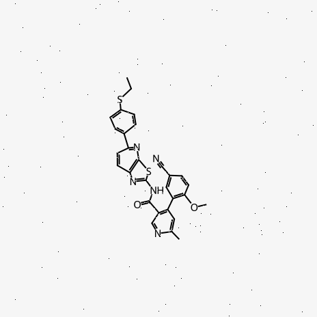 CCSc1ccc(-c2ccc3nc(NC(=O)c4cnc(C)cc4-c4cc(C#N)ccc4OC)sc3n2)cc1